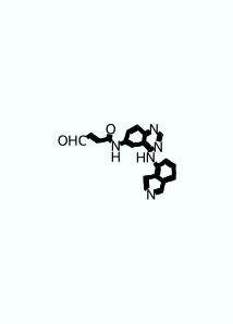 O=CC=CC(=O)Nc1ccc2ncnc(Nc3cccc4cnccc34)c2c1